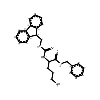 O=C(NC(CCCO)C(=O)OCc1ccccc1)OCC1c2ccccc2-c2ccccc21